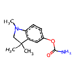 CN1CC(C)(C)c2cc(OC(N)=O)ccc21